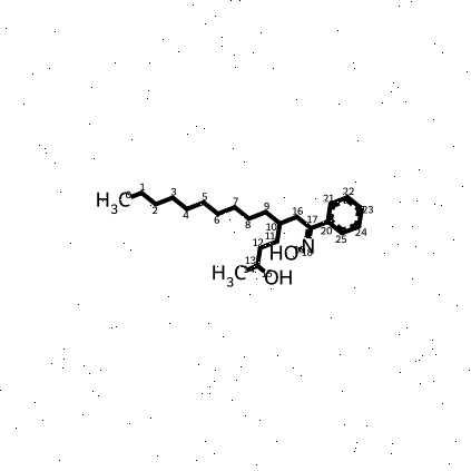 CCCCCCCCCCC(CCC(C)O)CC(=NO)c1ccccc1